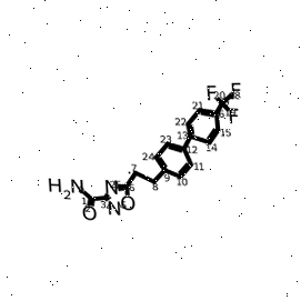 NC(=O)c1noc([CH]Cc2ccc(-c3ccc(C(F)(F)F)cc3)cc2)n1